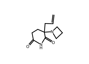 C=CCC1(N2CCC2)CCC(=O)NC1=O